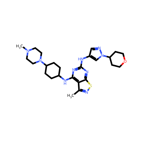 Cc1nsc2nc(Nc3cnn(C4CCOCC4)c3)nc(NC3CCC(N4CCN(C)CC4)CC3)c12